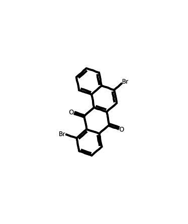 O=C1c2cccc(Br)c2C(=O)c2c1cc(Br)c1ccccc21